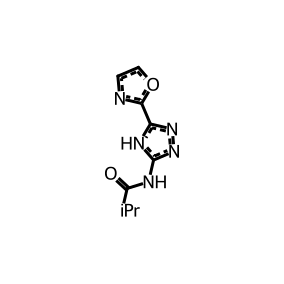 CC(C)C(=O)Nc1nnc(-c2ncco2)[nH]1